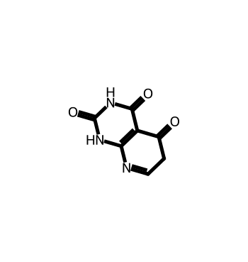 O=C1CC=Nc2[nH]c(=O)[nH]c(=O)c21